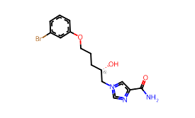 NC(=O)c1cn(C[C@@H](O)CCCOc2cccc(Br)c2)cn1